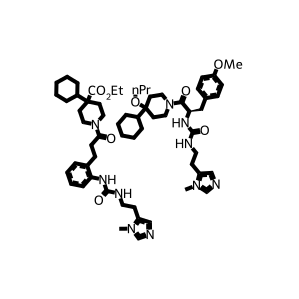 CCCOC1(C2CCCCC2)CCN(C(=O)[C@@H](Cc2ccc(OC)cc2)NC(=O)NCCc2cncn2C)CC1.CCOC(=O)C1(C2CCCCC2)CCN(C(=O)CCc2ccccc2NC(=O)NCCc2cncn2C)CC1